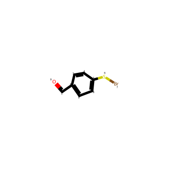 O=Cc1ccc(SBr)cc1